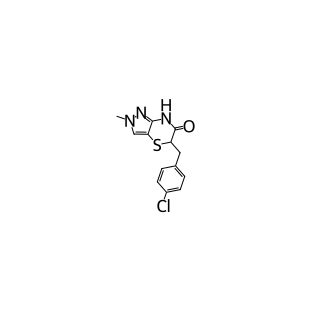 Cn1cc2c(n1)NC(=O)C(Cc1ccc(Cl)cc1)S2